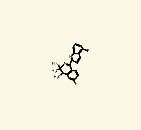 CC1c2cc(F)ccc2C(c2ccc3c(F)cccc3n2)=NC1(C)C